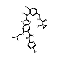 NN(c1nc2cc(C(=O)Nc3ccc(Br)cc3)c(OCC(F)F)cc2[nH]1)c1cc(CNC(=O)C2(C(F)(F)F)CC2)ccc1Cl